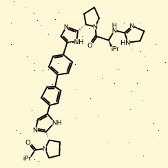 CC(C)C(=O)N1CCC[C@H]1c1ncc(-c2ccc(-c3ccc(-c4cnc([C@@H]5CCCN5C(=O)[C@@H](NC5=NCCN5)C(C)C)[nH]4)cc3)cc2)[nH]1